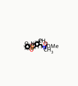 COC(=O)N(C)CCC1=CC(CS(=O)(=O)c2ccccc2)=C([N+](=O)[O-])CC1C